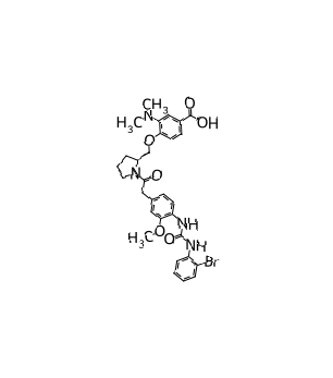 COc1cc(CC(=O)N2CCC[C@H]2COc2ccc(C(=O)O)cc2N(C)C)ccc1NC(=O)Nc1ccccc1Br